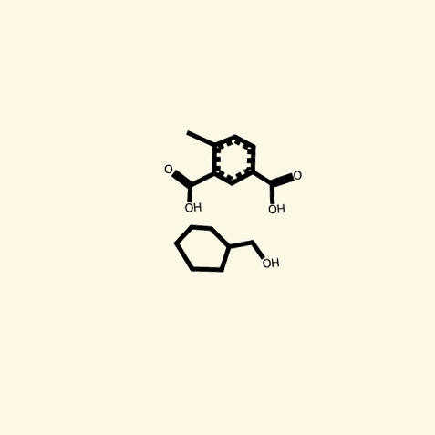 Cc1ccc(C(=O)O)cc1C(=O)O.OCC1CCCCC1